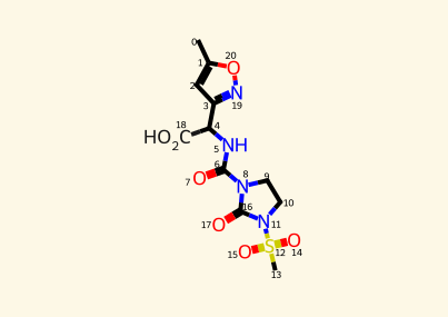 Cc1cc(C(NC(=O)N2CCN(S(C)(=O)=O)C2=O)C(=O)O)no1